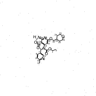 CCOC(=O)N(Cc1ccc(C)nc1)c1cc(OCC2CCOCC2)nc(N)c1[N+](=O)[O-]